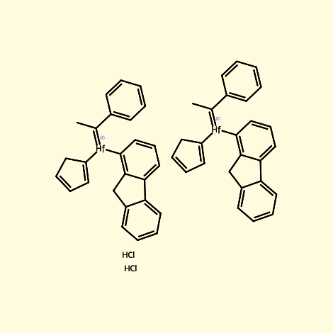 C/[C](c1ccccc1)=[Hf](\[C]1=CC=CC1)[c]1cccc2c1Cc1ccccc1-2.C/[C](c1ccccc1)=[Hf](\[C]1=CC=CC1)[c]1cccc2c1Cc1ccccc1-2.Cl.Cl